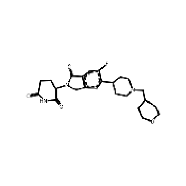 O=C1CCC(N2Cc3cc(C4CCN(CC5CCOCC5)CC4)c(F)cc3C2=O)C(=O)N1